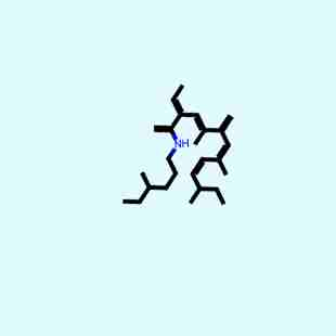 C=C(/C=C(C)\C=C/C(C)CC)/C(C)=C/C(=C\C)C(=C)NCCCC(C)CC